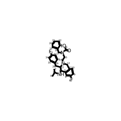 CC(C)NC1c2cc(F)ccc2CN(CCN(Cc2ccccc2)C(=O)O)C1Cc1ccc(F)cc1